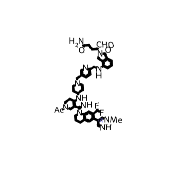 CN/C=C(\C=N)c1cc2c(cc1C(F)F)N(C(=N)C1=C(NC3CCN(Cc4ccc(CNc5cccc6c5CN(C(C=O)CCC(N)=O)C6=O)nc4)CC3)CCN(C(C)=O)C1)CCC2